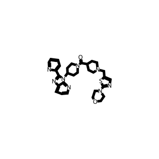 O=C(C1CCN(Cc2cnc(N3CCOCC3)s2)CC1)N1CCC(n2c(-c3ccccn3)nc3cccnc32)CC1